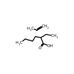 C=CC.CCCCC(CC)C(=O)O